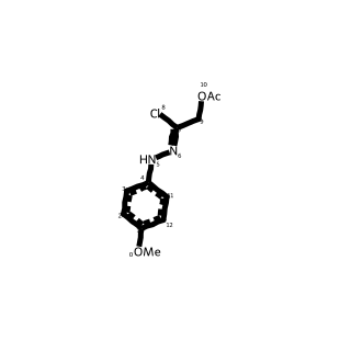 COc1ccc(NN=C(Cl)COC(C)=O)cc1